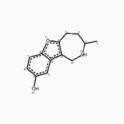 CC1CCc2oc3ccc(O)cc3c2CN1